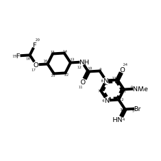 CNc1c(C(=N)Br)ncn(CC(=O)NC2CCC(OC(F)F)CC2)c1=O